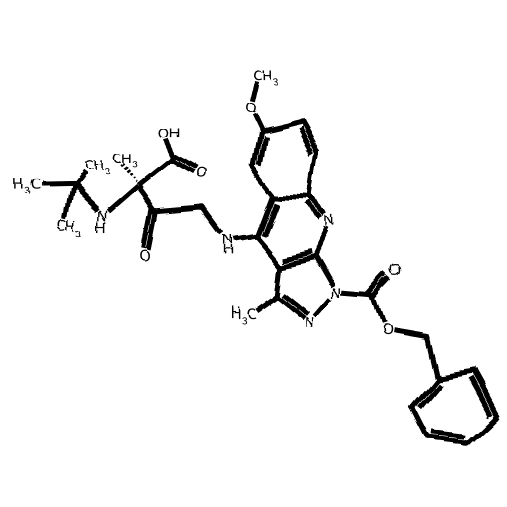 COc1ccc2nc3c(c(C)nn3C(=O)OCc3ccccc3)c(NCC(=O)[C@@](C)(NC(C)(C)C)C(=O)O)c2c1